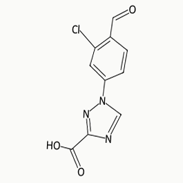 O=Cc1ccc(-n2cnc(C(=O)O)n2)cc1Cl